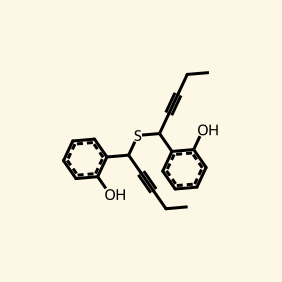 CCC#CC(SC(C#CCC)c1ccccc1O)c1ccccc1O